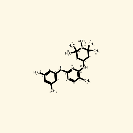 Cc1cc(C)cc(Nc2ncc(C)c(NC3CC(C)(C)N(C)C(C)(C)C3)n2)c1